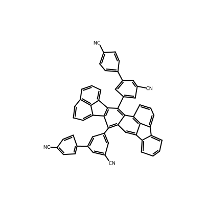 N#Cc1ccc(-c2cc(C#N)cc(-c3c4cc5c6ccccc6c6cccc(c4c(-c4cc(C#N)cc(-c7ccc(C#N)cc7)c4)c4c7cccc8cccc(c34)c87)c65)c2)cc1